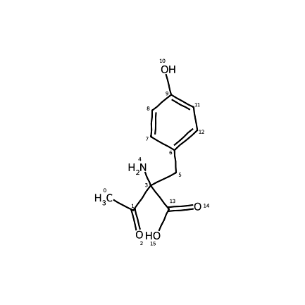 CC(=O)C(N)(Cc1ccc(O)cc1)C(=O)O